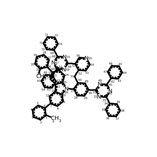 Cc1ccccc1-c1ccc2c(c1)c1cc(-c3ccccc3C)ccc1n2-c1ccc(-c2nc(-c3ccccc3)nc(-c3ccccc3)n2)cc1Cc1ccncc1-c1nc(-c2ccccc2)nc(-c2ccccc2)n1